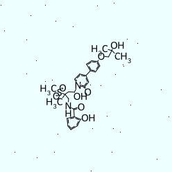 CC(C)(O)COc1ccc(-c2ccn(C(O)CC(C)(CNC(=O)c3ccccc3O)S(C)(=O)=O)c(=O)c2)cc1